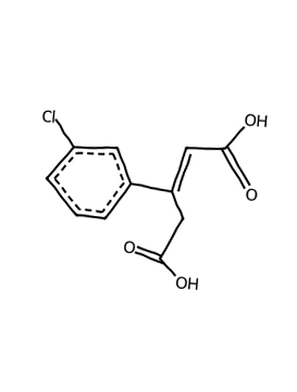 O=C(O)C=C(CC(=O)O)c1cccc(Cl)c1